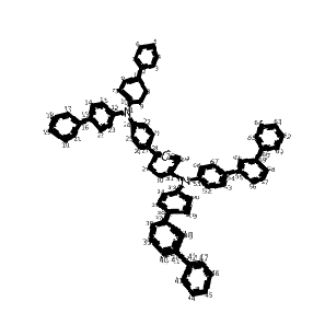 C1=C(c2ccccc2)CCC(N(c2ccc(-c3ccccc3)cc2)c2ccc(-c3ccc(N(c4ccc(-c5cccc(-c6ccccc6)c5)cc4)c4ccc(-c5cccc(-c6ccccc6)c5)cc4)cc3)cc2)=C1